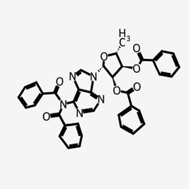 C[C@H]1O[C@@H](n2cnc3c(N(C(=O)c4ccccc4)C(=O)c4ccccc4)ncnc32)[C@H](OC(=O)c2ccccc2)[C@@H]1OC(=O)c1ccccc1